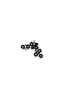 CN1c2ccccc2Sc2cc(-c3ccc4c(c3)C3(c5ccccc5-c5c(CN6c7ccccc7N(c7ccccc7)c7ccccc76)cccc53)c3ccccc3N4C)ccc21